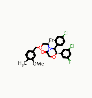 CC[C@@H](COCc1ccc(C)c(OC)c1)N1C(=O)CO[C@H](c2cc(F)cc(Cl)c2)C1c1ccc(Cl)cc1